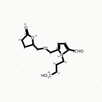 O=Cc1ccc(COCC2CCC(=O)O2)n1CCCC(=O)O